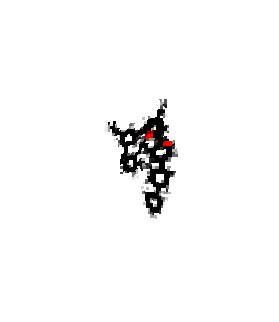 N#Cc1cc(C#N)c2c(c1)c1cc(C#N)cc(C#N)c1n2B1c2ccccc2-n2c3cc(-c4ccccc4)ccc3c3ccc(-c4ccccc4)c1c32